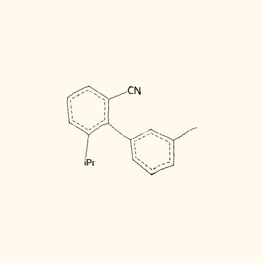 Cc1cccc(-c2c(C#N)cccc2C(C)C)c1